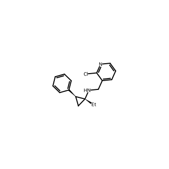 CC[C@@]1(NCc2cccnc2Cl)C[C@H]1c1ccccc1